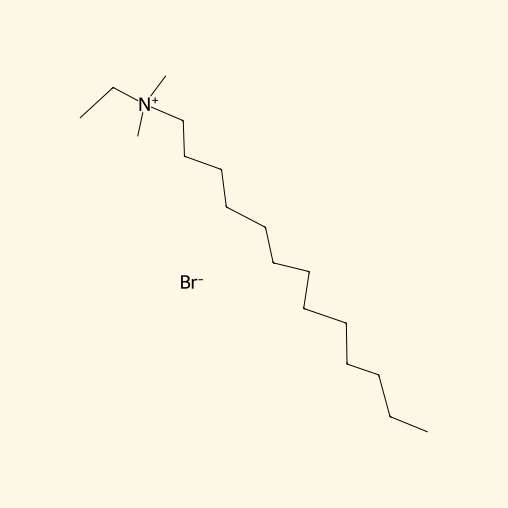 CCCCCCCCCCCCC[N+](C)(C)CC.[Br-]